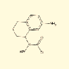 CCCN(C(=O)CC)C1CCCc2ccc(N)cc21